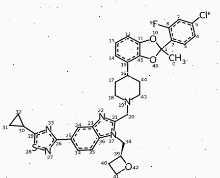 CC1(c2ccc(Cl)cc2F)Oc2cccc(C3CCN(Cc4nc5cc(-c6nsc(C7CC7)n6)ccc5n4C[C@@H]4CCO4)CC3)c2O1